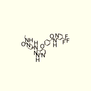 CCNC(=O)N1CC[C@@H](Nc2n[nH]c3nccc(Oc4ccc(C(=O)Nc5cc(C(F)(F)F)ccn5)cc4)c23)C1